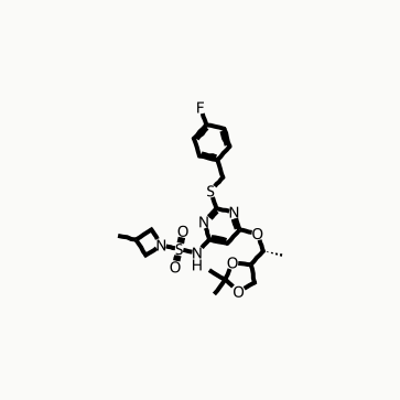 CC1CN(S(=O)(=O)Nc2cc(O[C@H](C)C3COC(C)(C)O3)nc(SCc3ccc(F)cc3)n2)C1